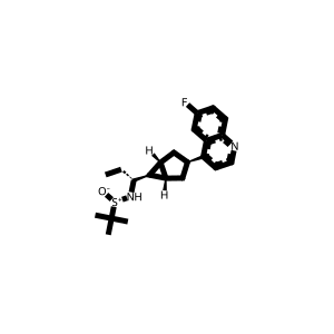 CC[C@@H](N[S+]([O-])C(C)(C)C)[C@H]1[C@@H]2C[C@@H](c3ccnc4ccc(F)cc34)C[C@@H]21